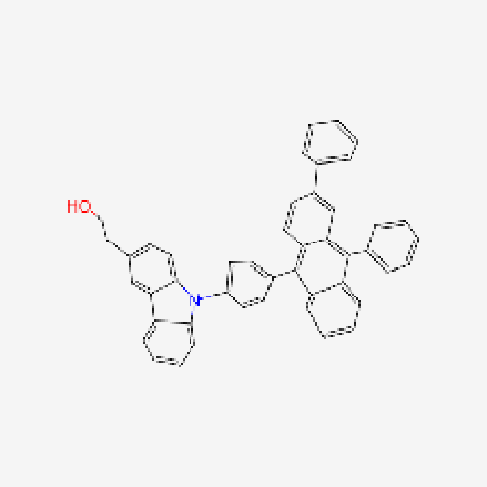 OCCc1ccc2c(c1)c1ccccc1n2-c1ccc(-c2c3ccccc3c(-c3ccccc3)c3cc(-c4ccccc4)ccc23)cc1